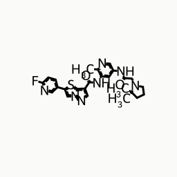 Cc1ncc(NC(=O)CN2CCCC2(C)C)cc1NC(=O)c1cnn2cc(-c3ccc(F)nc3)sc12